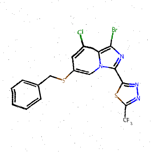 FC(F)(F)c1nnc(-c2nc(Br)c3c(Cl)cc(SCc4ccccc4)cn23)s1